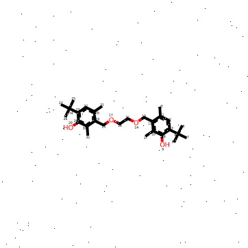 Cc1cc(C(C)(C)C)c(O)c(C)c1COCCOCc1c(C)cc(C(C)(C)C)c(O)c1C